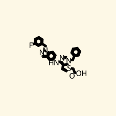 O=C(O)CS1=C2C(=C(Nc3ccc4c(cnn4Cc4cccc(F)c4)c3)N=CN2Cc2ccccc2)C=C1